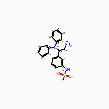 CS(=O)(=O)Nc1cccc(C(CN)N(c2ccccc2)c2ccccc2)c1